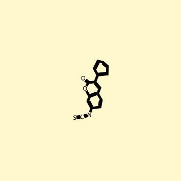 O=c1oc2cc(N=C=S)ccc2cc1-c1ccccc1